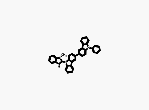 CN1c2ccccc2NC1n1c2ccccc2c2cc(-c3ccc4c(c3)c3ccccc3n4-c3ccccc3)ccc21